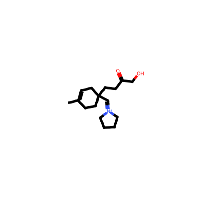 CC1=CCC(C=[N+]2CCCC2)(CCC(=O)CO)CC1